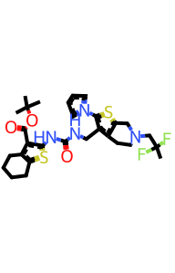 CC(F)(F)CN1CCc2c(sc(-n3cccc3)c2CNC(=O)Nc2sc3c(c2C(=O)OC(C)(C)C)CCCC3)C1